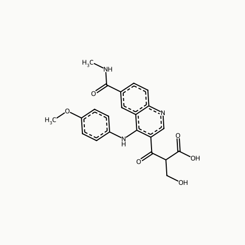 CNC(=O)c1ccc2ncc(C(=O)C(CO)C(=O)O)c(Nc3ccc(OC)cc3)c2c1